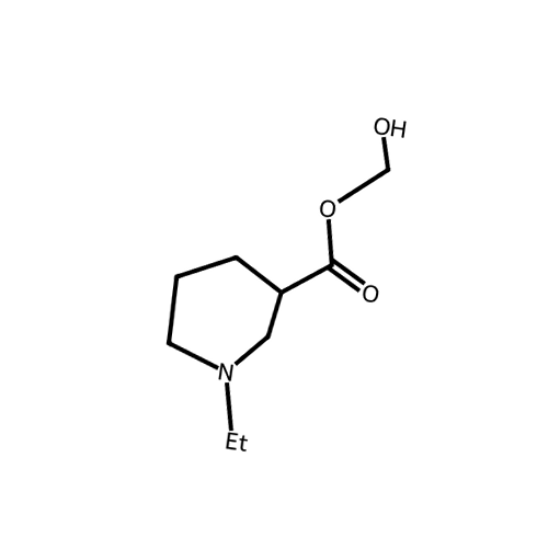 CCN1CCCC(C(=O)OCO)C1